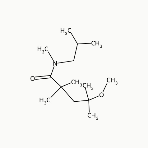 COC(C)(C)CC(C)(C)C(=O)N(C)CC(C)C